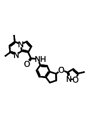 Cc1cc(C)n2ccc(C(=O)Nc3ccc4c(c3)C(Oc3cc(C)on3)CC4)c2n1